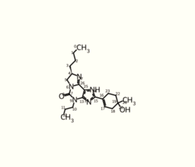 CCCC[C@@H]1CN2C(=O)N(CCC)c3nc(C4=CCC(C)(O)CC4)[nH]c3C2=N1